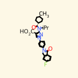 CC(C)N(c1nn(-c2ccc(N3Cc4cc(F)ccc4C3=O)cc2)cc1C(=O)O)C(=O)[C@H]1CC[C@H](C)CC1